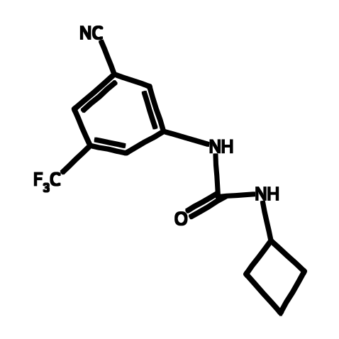 N#Cc1cc(NC(=O)NC2CCC2)cc(C(F)(F)F)c1